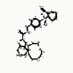 N#Cc1ccccc1S(=O)(=O)c1ccc(CNC(=O)C2CC3C(CNCC34CCCCCCCCC4)O2)cc1